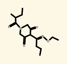 CCCC(=NOCC)C1C(=O)CN(C(=S)C(C)CC)CC1=O